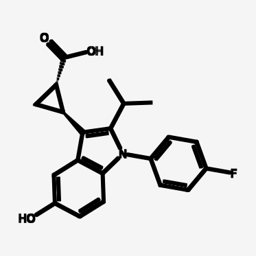 CC(C)c1c([C@H]2C[C@@H]2C(=O)O)c2cc(O)ccc2n1-c1ccc(F)cc1